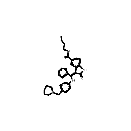 CCCCNC(=O)c1ccc2c(c1)/C(=C(/Nc1ccc(CN3CCCCC3)cc1)c1ccccc1)C(=O)N2